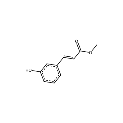 COC(=O)C=Cc1cccc(O)c1